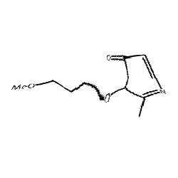 COCCCOC1C(=O)C=CN=C1C